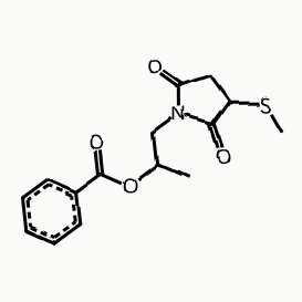 CSC1CC(=O)N(CC(C)OC(=O)c2ccccc2)C1=O